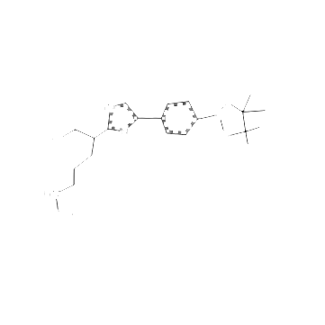 CC(C)CC(CCCNC=O)c1nc(-c2ccc(B3OC(C)(C)C(C)(C)O3)cc2)c[nH]1